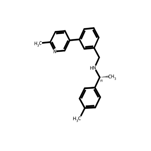 Cc1ccc([C@@H](C)NCc2cccc(-c3ccc(C)nc3)c2)cc1